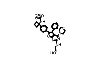 CC(C)(C)OC(=O)NC1(c2ccc(-c3oc4nc(NCCO)nc(N5CCOCC5)c4c3-c3ccccc3)cc2)CCC1